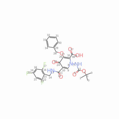 CC(C)(C)OC(=O)Nn1cc(C(=O)NCc2c(F)cc(F)cc2F)c(=O)c(OCc2ccccc2)c1C(=O)O